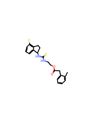 Cc1ccccc1CC(=O)OCCNC(=S)NC1CCc2c(F)cccc21